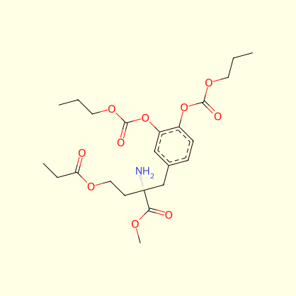 CCCOC(=O)Oc1ccc(C[C@](N)(CCOC(=O)CC)C(=O)OC)cc1OC(=O)OCCC